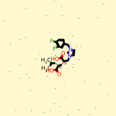 CC(C)C[C@H](C[C@@H](CN1C=CN(Cc2ccc(F)c(F)c2)C1)C(=O)O)C(=O)O